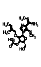 C=Nc1c(/C(N)=N\C)ncn1[C@@H]1O[C@H](CO)C(O[PH](=O)O)C1OC/C(C)=C/C